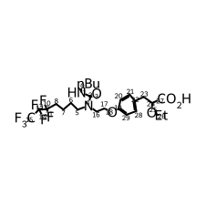 CCCCNC(=O)N(CCCCC(F)(F)C(F)(F)C(F)(F)F)CCOc1ccc(CC(OCC)C(=O)O)cc1